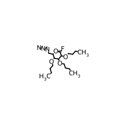 CCCCOC1C(CN=[N+]=[N-])O[C@@H](F)C(OCCCC)C1OCCCC